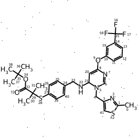 Cc1nc(CN2C=NC(Oc3cccc(C(F)(F)F)c3)=CC2NCc2ccc(SC(C)(C)C(=O)OC(C)(C)C)cc2)cs1